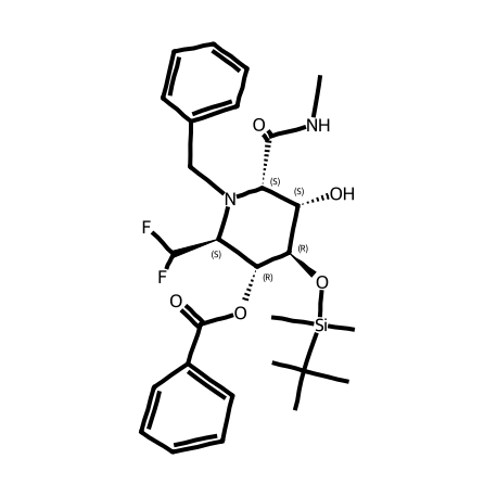 CNC(=O)[C@@H]1[C@H](O)[C@@H](O[Si](C)(C)C(C)(C)C)[C@H](OC(=O)c2ccccc2)[C@@H](C(F)F)N1Cc1ccccc1